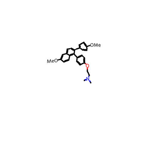 COc1ccc(-c2ccc3cc(OC)ccc3c2-c2ccc(OCCN(C)C)cc2)cc1